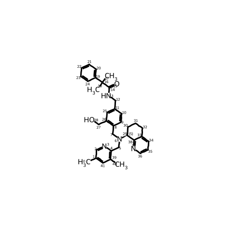 Cc1cnc(CN(Cc2ccc(CNC(=O)C(C)(C)c3ccccc3)cc2CO)[C@H]2CCCc3cccnc32)c(C)c1